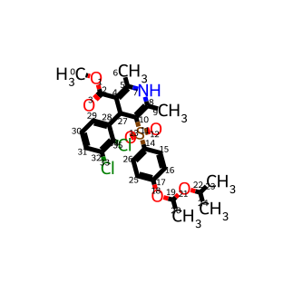 COC(=O)C1=C(C)NC(C)=C(S(=O)(=O)c2ccc(OC(C)OC(C)C)cc2)C1c1cccc(Cl)c1Cl